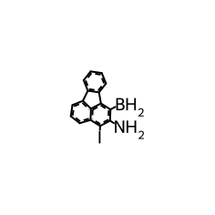 Bc1c(N)c(I)c2cccc3c2c1-c1ccccc1-3